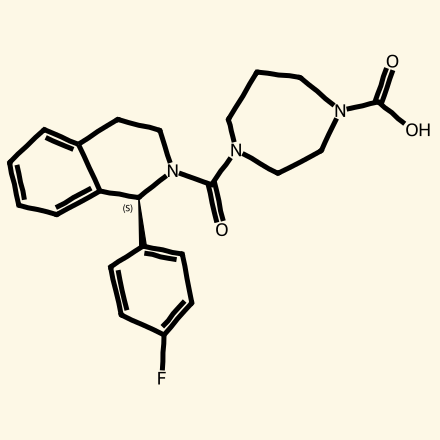 O=C(O)N1CCCN(C(=O)N2CCc3ccccc3[C@@H]2c2ccc(F)cc2)CC1